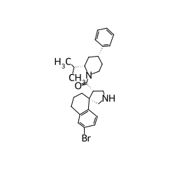 CC(C)[C@@H]1C[C@H](c2ccccc2)CCN1C(=O)[C@@H]1CNC[C@]12CCCc1cc(Br)ccc12